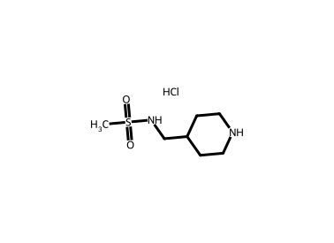 CS(=O)(=O)NCC1CCNCC1.Cl